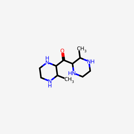 CC1NCCNC1C(=O)C1NCCNC1C